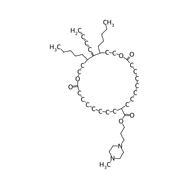 C=C=C=C=C1C(CCCCC)CCOC(=O)CCCCCCCC(C(=O)OCCCN2CCN(C)CC2)CCCCCCCC(=O)OCCC1CCCCC